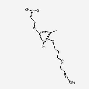 CCc1cc(OCC=C(Cl)Cl)cc(C)c1OCCCOCC=NO